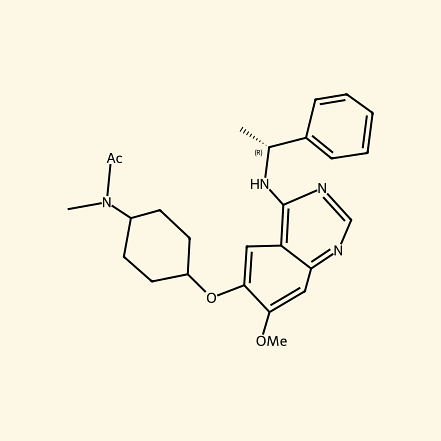 COc1cc2ncnc(N[C@H](C)c3ccccc3)c2cc1OC1CCC(N(C)C(C)=O)CC1